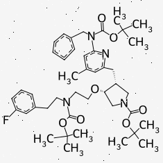 Cc1cc(C[C@@H]2CN(C(=O)OC(C)(C)C)C[C@@H]2OCCN(CCc2cccc(F)c2)C(=O)OC(C)(C)C)nc(N(Cc2ccccc2)C(=O)OC(C)(C)C)c1